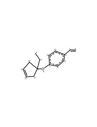 C=Cc1ccc(OC2(CC)CC=CC2)cc1